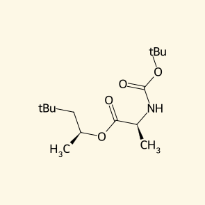 C[C@H](NC(=O)OC(C)(C)C)C(=O)O[C@@H](C)CC(C)(C)C